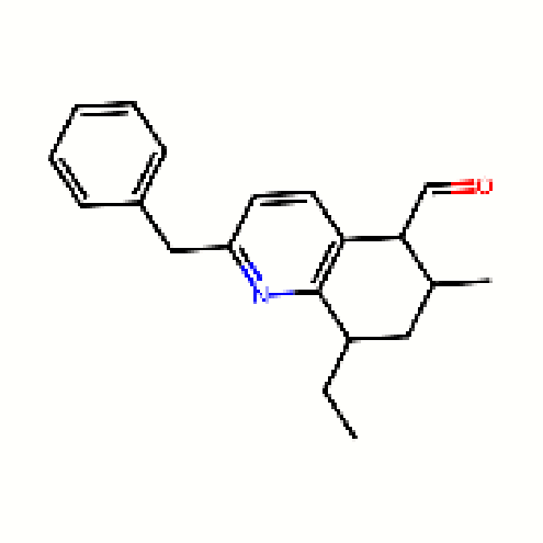 CCC1CC(C)C(C=O)c2ccc(Cc3ccccc3)nc21